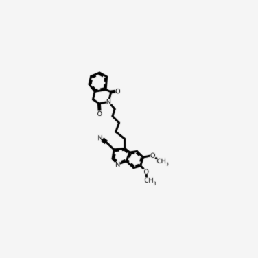 COc1cc2ncc(C#N)c(CCCCCN3C(=O)Cc4ccccc4C3=O)c2cc1OC